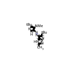 [CH2-][NH2+]c1c(C(C)(C)C)n[nH]c1/N=N/c1c(C(C)(C)C)nn2nc(C)[nH]c12